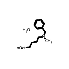 CCCCCCCCCCCCN(C)Cc1ccccc1.O